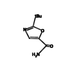 CC(C)(C)c1ncc(C(N)=O)o1